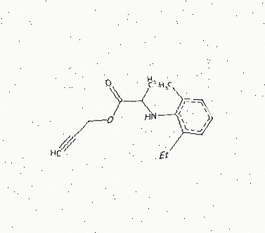 C#CCOC(=O)C(C)Nc1c(C)cccc1CC